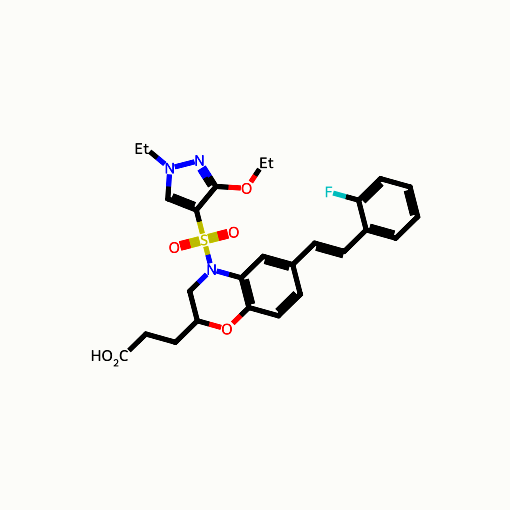 CCOc1nn(CC)cc1S(=O)(=O)N1CC(CCC(=O)O)Oc2ccc(C=Cc3ccccc3F)cc21